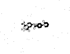 CN(C)C(=O)N1CCC(NC(=O)c2ccc(-n3ccccc3=O)cc2)[CH]C1C(N)=O